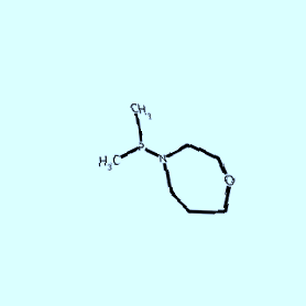 CP(C)N1CCCOCC1